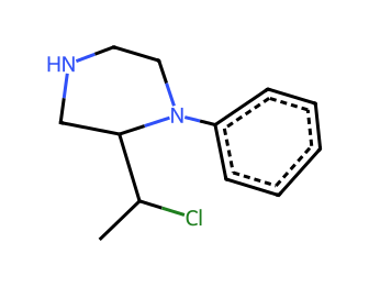 CC(Cl)C1CNCCN1c1ccccc1